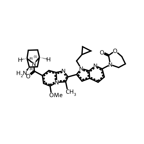 COc1cc(C(=O)N2[C@H]3CC[C@@H]2[C@H](N)C3)cc2nc(-c3cc4ccc(N5CCCOC5=O)nc4n3CC3CC3)c(C)n12